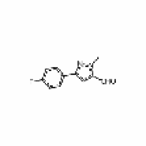 Cn1nc(-c2ccc(F)cc2)cc1C=O